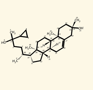 C[C@H](CCC(C)(O)C1CC1)[C@H]1CC[C@H]2[C@@H]3CC=C4C[C@@](C)(O)CC[C@]4(C)[C@H]3CC[C@]12C